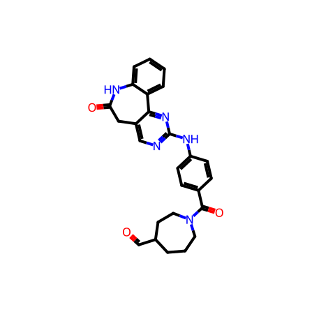 O=CC1CCCN(C(=O)c2ccc(Nc3ncc4c(n3)-c3ccccc3NC(=O)C4)cc2)CC1